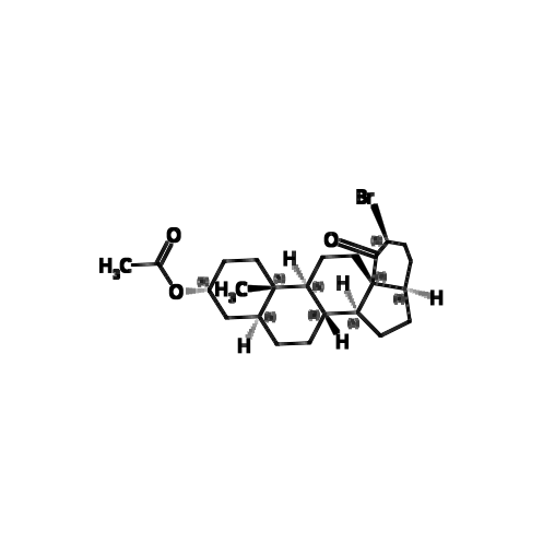 CC(=O)O[C@@H]1CC[C@@]2(C)[C@@H](CC[C@@H]3[C@@H]2CC[C@@]24C(=O)[C@@H](Br)CC[C@H]2CC[C@@H]34)C1